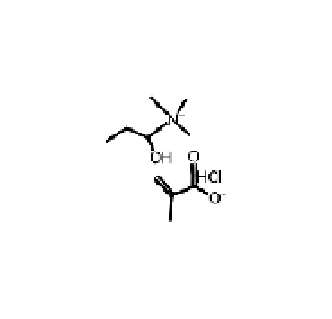 C=C(C)C(=O)[O-].CCC(O)[N+](C)(C)C.Cl